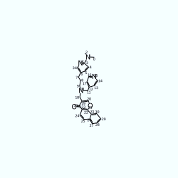 CN(C)c1ccc(CCCN(Cc2ccncc2)Cc2coc3c(ccc4ccccc43)c2=O)cn1